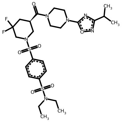 CCN(CC)S(=O)(=O)c1ccc(S(=O)(=O)N2C[C@H](C(=O)N3CCN(c4nc(C(C)C)no4)CC3)CC(F)(F)C2)cc1